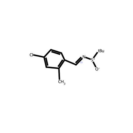 Cc1cc(Cl)ccc1/C=N/[S+]([O-])C(C)(C)C